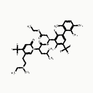 CCOC(=O)C[C@H](NC(=O)C(CC(C)C)n1cc(CCN(C)CC)c(C(F)(F)F)cc1=O)c1c(F)c(-c2c(C)ccc(C)c2C)cc(C(F)(F)F)c1F